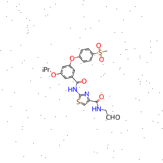 CC(C)Oc1cc(Oc2ccc(S(C)(=O)=O)cc2)cc(C(=O)Nc2nc(C(=O)NCC=O)cs2)c1